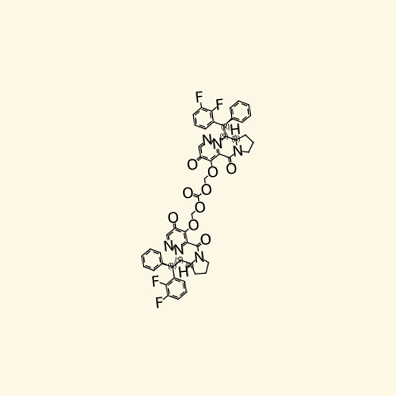 O=C(OCOc1c2n(ncc1=O)[C@@H]([C@H](c1ccccc1)c1cccc(F)c1F)[C@H]1CCCN1C2=O)OCOc1c2n(ncc1=O)[C@@H]([C@H](c1ccccc1)c1cccc(F)c1F)[C@H]1CCCN1C2=O